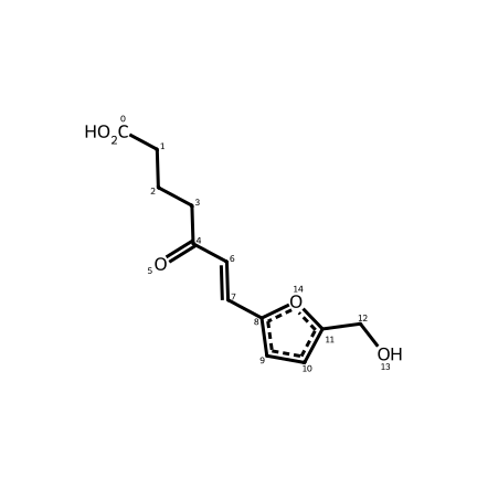 O=C(O)CCCC(=O)C=Cc1ccc(CO)o1